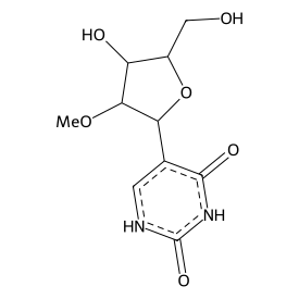 COC1C(c2c[nH]c(=O)[nH]c2=O)OC(CO)C1O